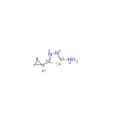 Nc1nnc(C2(F)CC2)s1